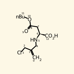 C=C(CCl)CN[C@@H](CC(=O)OCCCC)C(=O)O